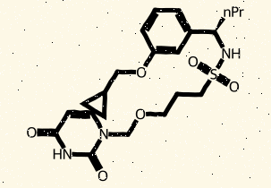 CCC[C@@H](NS(=O)(=O)CCCOCn1ccc(=O)[nH]c1=O)c1cccc(OCC2CC2)c1